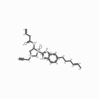 C#CCN1CC(OC(=O)CC=C)[N+]([O-])(c2nc3ccc(CCCC=CC)cc3s2)C1